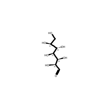 O=C[C@@H](O)[C@H](O)[C@@H](O)[C@@H](O)[C@@H](O)CO